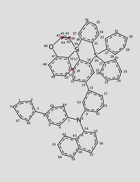 c1ccc(-c2ccc(N(c3cccc(-c4ccc5c(c4)S(c4ccccc4)(c4ccccc4)c4ccccc4[Si]54c5ccccc5Oc5ccccc54)c3)c3cccc4ccccc34)cc2)cc1